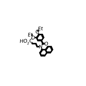 CCOc1ccc(C(=O)N(CCCC(=O)O)c2cccc3ccccc23)cc1OCC